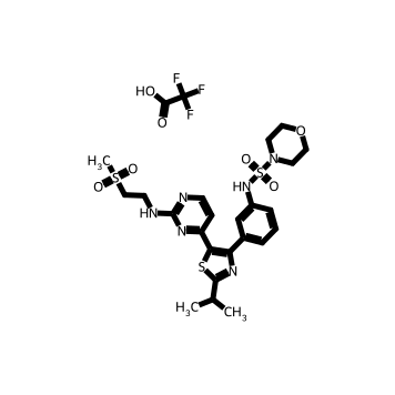 CC(C)c1nc(-c2cccc(NS(=O)(=O)N3CCOCC3)c2)c(-c2ccnc(NCCS(C)(=O)=O)n2)s1.O=C(O)C(F)(F)F